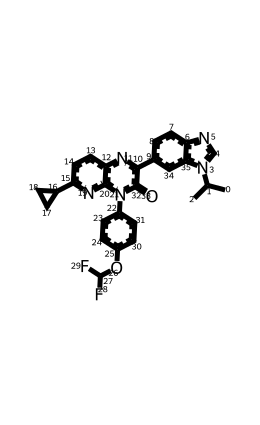 CC(C)n1cnc2ccc(-c3nc4ccc(C5CC5)nc4n(-c4ccc(OC(F)F)cc4)c3=O)cc21